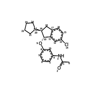 CC(=O)Nc1cccc(O[C@H]2c3cc(Cl)ccc3C[C@@H]2N2CCCC2)c1